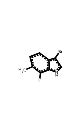 Cc1ccc2c(Br)c[nH]c2c1F